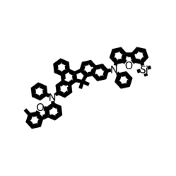 Cc1cccc2c1oc1c(N(c3ccccc3)c3ccc4c5c(c6ccccc6c4c3)-c3ccc4cc(N(c6ccccc6)c6cccc7c6oc6c([Si](C)(C)C)cccc67)ccc4c3C5(C)C)cccc12